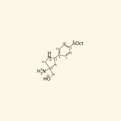 CCCCCCCCc1ccc(C2CC(N)(CO)CN2)cc1